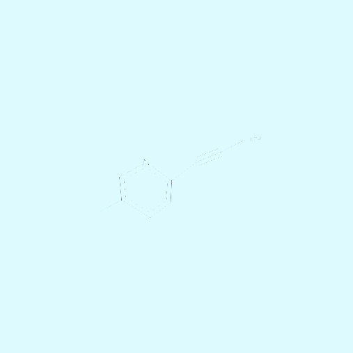 CCCCC#Cc1ccc(Cl)cn1